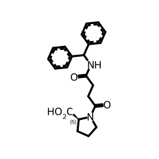 O=C(CCC(=O)N1CCC[C@H]1C(=O)O)NC(c1ccccc1)c1ccccc1